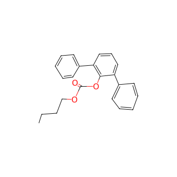 CCCCOC(=O)Oc1c(-c2ccccc2)cccc1-c1ccccc1